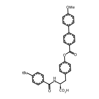 COc1ccc(-c2ccc(C(=O)Oc3ccc(C[C@H](NC(=O)c4ccc(C(C)(C)C)cc4)C(=O)O)cc3)cc2)cc1